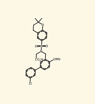 COc1ccc(-c2cccc(Cl)c2)cc1CN(CC(=O)O)S(=O)(=O)c1ccc2c(c1)CCC(C)(C)O2